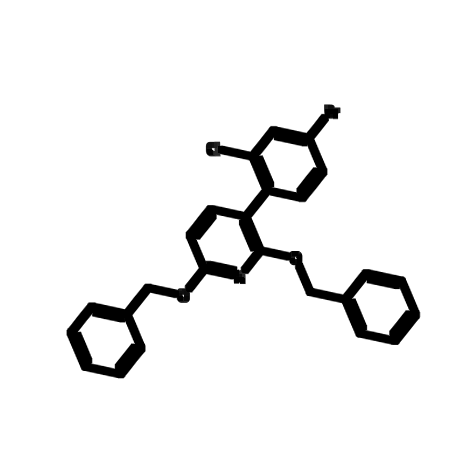 Clc1cc(Br)ccc1-c1ccc(OCc2ccccc2)nc1OCc1ccccc1